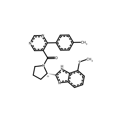 CSc1cccc2nc([C@@H]3CCCN3C(=O)c3cncnc3-c3ccc(C)cc3)[nH]c12